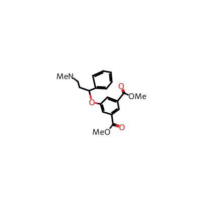 CNCCC(Oc1cc(C(=O)OC)cc(C(=O)OC)c1)c1ccccc1